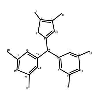 CC1=C(C)CC(C(c2cc(C)cc(C)c2)c2cc(C)cc(C)c2)=C1